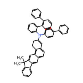 CC1(C)c2ccccc2-c2cc3ccc4c(c3cc21)CCC(N(c1ccc(-c2ccccc2)cc1)c1ccccc1-c1c#cccc1-c1ccccc1)=C4